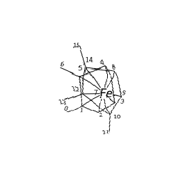 C[C]12[CH]3[CH]4[CH]5[C]1(C)[Fe]43521678[CH]2[CH]1[C]6(C)[C]7(C)[C]28C